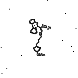 COc1ccc(CCCCOC=C(CSc2ccccc2-c2ccccn2)C(=O)O)cc1